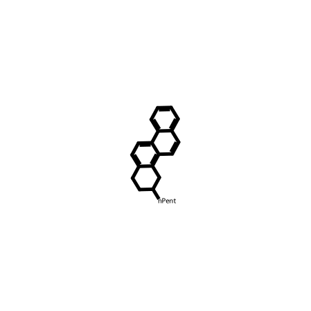 CCCCCC1CCc2ccc3c(ccc4ccccc43)c2C1